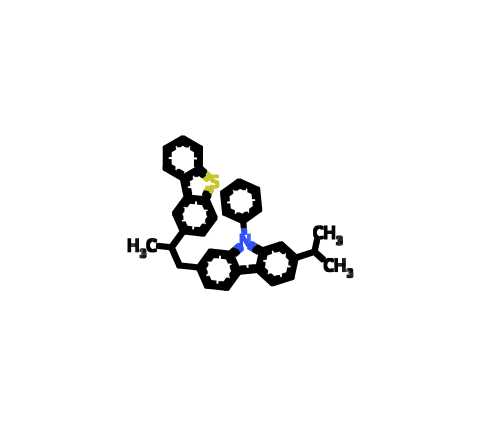 CC(C)c1ccc2c3ccc(CC(C)c4ccc5sc6ccccc6c5c4)cc3n(-c3ccccc3)c2c1